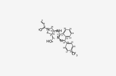 C=CC(=O)N1C[C@H](CO)[C@H](Nc2nnc(-c3ccc(C(F)(F)F)cc3)c3ccccc23)C1